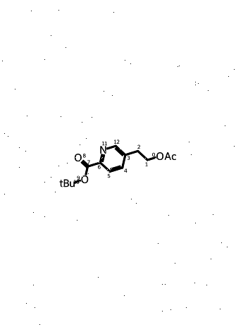 CC(=O)OCCc1ccc(C(=O)OC(C)(C)C)nc1